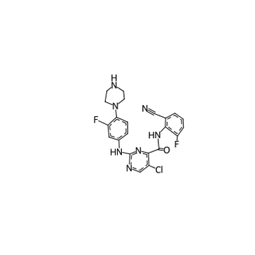 N#Cc1cccc(F)c1NC(=O)c1nc(Nc2ccc(N3CCNCC3)c(F)c2)ncc1Cl